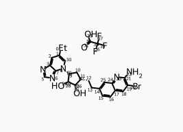 CCc1cc2ncnc-2n([C@@H]2C[C@H](CCc3ccc4cc(Br)c(N)nc4c3)[C@@H](O)[C@H]2O)c1.O=C(O)C(F)(F)F